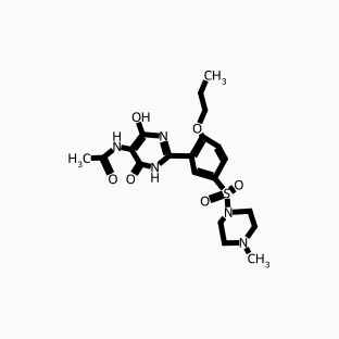 CCCOc1ccc(S(=O)(=O)N2CCN(C)CC2)cc1-c1nc(O)c(NC(C)=O)c(=O)[nH]1